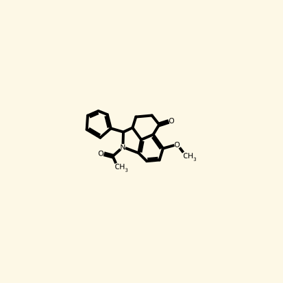 COc1ccc2c3c1C(=O)CCC3C(c1ccccc1)N2C(C)=O